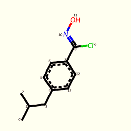 CC(C)Cc1ccc(/C(Cl)=N/O)cc1